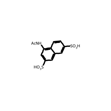 CC(=O)Nc1cc(S(=O)(=O)O)cc2cc(S(=O)(=O)O)ccc12